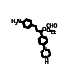 CCOC=O.Nc1ccc(CCC(=O)c2ccc(N3CCNCC3)cc2)cc1